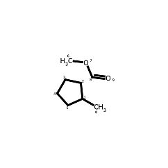 CC1CCCC1.COC=O